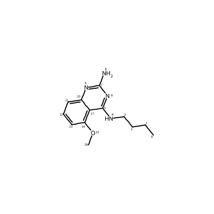 CCCCNc1nc(N)nc2cccc(OC)c12